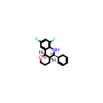 Fc1cc(F)c2c(c1)[C@@H]1OCCC[C@@H]1[C@H](C1C=CC=CC1)N2